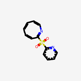 O=S(=O)(C1=N/C=C\C=C/C=C\1)c1ccccn1